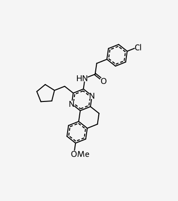 COc1ccc2c(c1)CCc1nc(NC(=O)Cc3ccc(Cl)cc3)c(CC3CCCC3)nc1-2